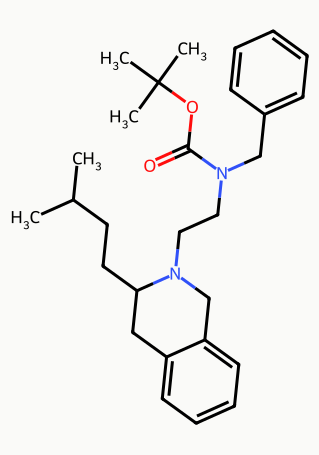 CC(C)CCC1Cc2ccccc2CN1CCN(Cc1ccccc1)C(=O)OC(C)(C)C